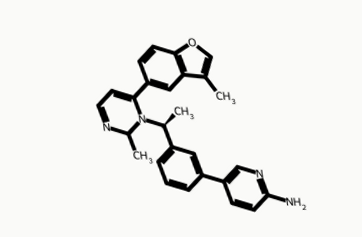 Cc1coc2ccc(C3=CC=NC(C)N3[C@@H](C)c3cccc(-c4ccc(N)nc4)c3)cc12